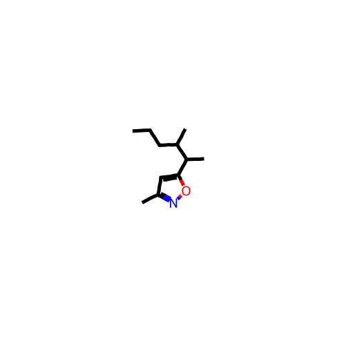 CCCC(C)C(C)c1cc(C)no1